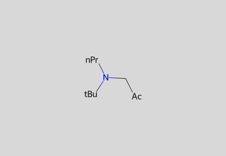 CCCN(CC(C)=O)C(C)(C)C